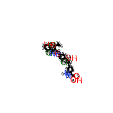 Cn1nc(C(=O)O)c2ccc(C3CC(O)(c4ccc(OC/C(C(=N)c5c(Cl)cccc5Cl)=C(/O)C5CC5)cc4Cl)C3)cc21